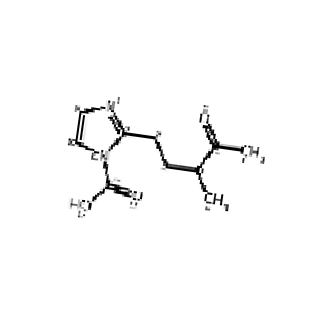 CC(=O)C(C)CCc1nccn1C(=O)O